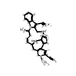 C=Cc1c(CNC)n(/C(N)=C/C=C\C2CC3=C(C=C(C#N)N(C)C3)C3=C(C=CC3)N2)c2ccccc12